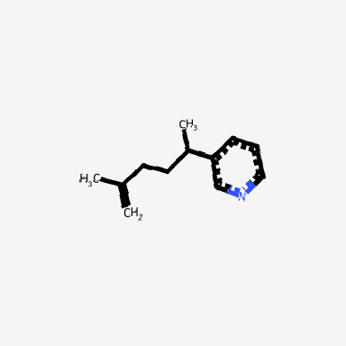 C=C(C)CCC(C)c1cccnc1